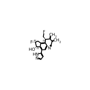 C=C(C#N)C(=C)[C@H](CF)c1ccc(-c2ccn[nH]2)c2c1C[C@@H](F)[C@H]2O